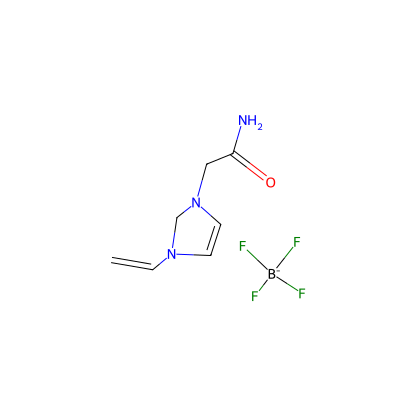 C=CN1C=CN(CC(N)=O)C1.F[B-](F)(F)F